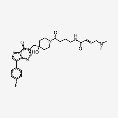 CN(C)C/C=C/C(=O)NCCCC(=O)N1CCC(O)(Cn2cnc3c(-c4ccc(F)cc4)csc3c2=O)CC1